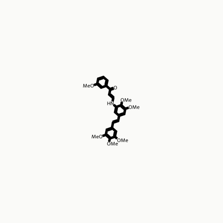 COc1cccc(C(=O)C=CNc2cc(C=Cc3cc(OC)c(OC)c(OC)c3)cc(OC)c2OC)c1